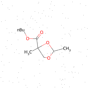 CCCCOC(=O)C1(C)COC(C)O1